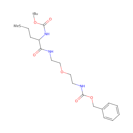 CSCCC(NC(=O)OC(C)(C)C)C(=O)NCCOCCNC(=O)OCc1ccccc1